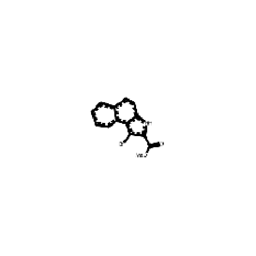 COC(=O)c1[nH]c2ccc3ccccc3c2c1Br